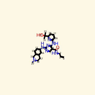 C=CCNC(=O)c1cnc(Nc2ccc3c(c2)CCN(C)C3)nc1Nc1cccc(C(C)(C)O)n1